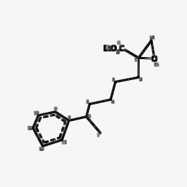 CCOC(=O)C1(CCCCC(C)c2ccccc2)CO1